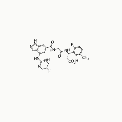 Cc1ccc(F)c([C@H](CC(=O)O)NC(=O)CNC(=O)c2cc(NC3=NCC(F)CN3)c3cn[nH]c3c2)c1